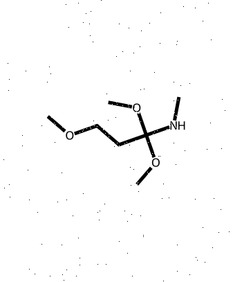 CNC(CCOC)(OC)OC